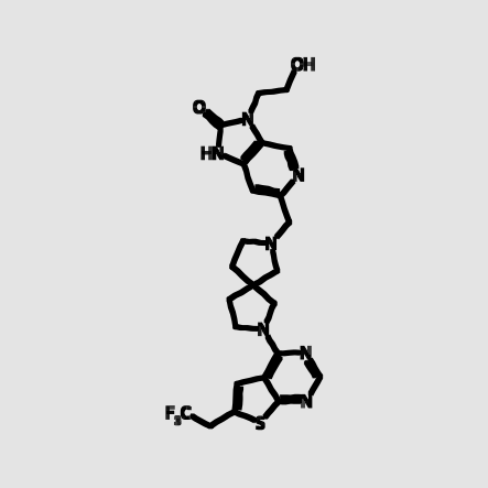 O=c1[nH]c2cc(CN3CCC4(CCN(c5ncnc6sc(CC(F)(F)F)cc56)C4)C3)ncc2n1CCO